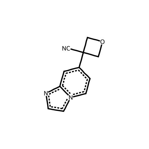 N#CC1(c2ccn3ccnc3c2)COC1